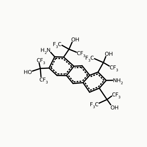 Nc1c(C(O)(C(F)(F)F)C(F)(F)F)cc2cc3cc(C(O)(C(F)(F)F)C(F)(F)F)c(N)c(C(O)(C(F)(F)F)C(F)(F)F)c3cc2c1C(O)(C(F)(F)F)C(F)(F)F